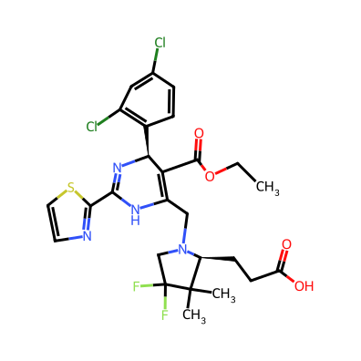 CCOC(=O)C1=C(CN2CC(F)(F)C(C)(C)[C@@H]2CCC(=O)O)NC(c2nccs2)=N[C@H]1c1ccc(Cl)cc1Cl